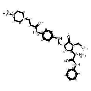 CCN1C(=O)[C@@H](CNc2ccc(NC(=O)CCN3CCN(C)CC3)cc2)SC1[C@H](N)C(=O)Nc1ccccc1